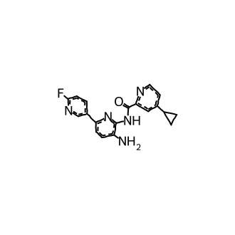 Nc1ccc(-c2ccc(F)nc2)nc1NC(=O)c1cc(C2CC2)ccn1